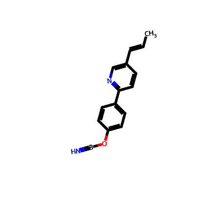 CC=Cc1ccc(-c2ccc(OB=N)cc2)nc1